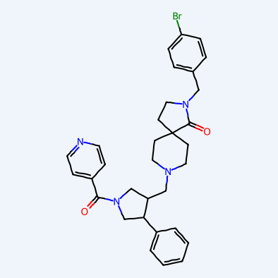 O=C(c1ccncc1)N1CC(CN2CCC3(CC2)CCN(Cc2ccc(Br)cc2)C3=O)C(c2ccccc2)C1